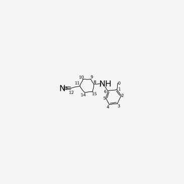 Cc1ccccc1NC1CCC(C#N)CC1